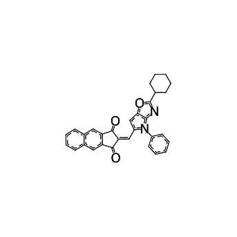 O=C1C(=Cc2cc3oc(C4CCCCC4)nc3n2-c2ccccc2)C(=O)c2cc3ccccc3cc21